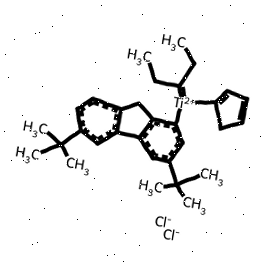 CC[C](CC)=[Ti+2]([C]1=CC=CC1)[c]1cc(C(C)(C)C)cc2c1Cc1ccc(C(C)(C)C)cc1-2.[Cl-].[Cl-]